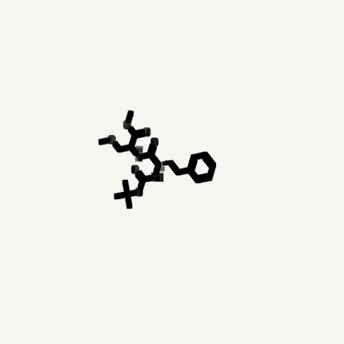 COCC(NC(=O)[C@H](CCc1ccccc1)NC(=O)OC(C)(C)C)C(=O)OC